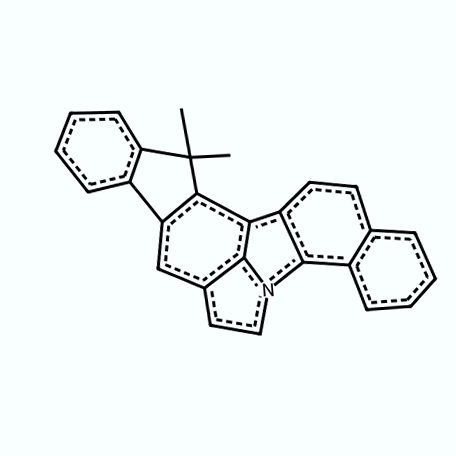 CC1(C)c2ccccc2-c2cc3ccn4c5c6ccccc6ccc5c(c21)c34